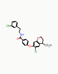 O=C(NCCc1cccc(Cl)c1)c1ccc(Oc2cc3c(cc2Cl)C(C(=O)O)CCO3)cc1